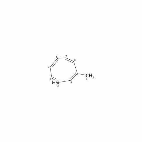 CC1=C[SiH]=CC=CC=C1